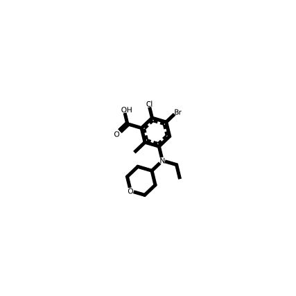 CCN(c1cc(Br)c(Cl)c(C(=O)O)c1C)C1CCOCC1